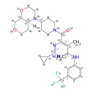 C=C(Nc1cccc(C(F)(F)F)c1)/C(C)=C(\N=C(/N)C1CC1)C(=O)N1CCC(N2CCOC3COCC[C@@H]32)CC1